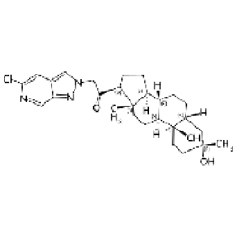 C[C@@]1(O)CC[C@@]2(C)[C@H](CC[C@@H]3[C@@H]2CC[C@]2(C)[C@@H](C(=O)Cn4cc5cc(Cl)ncc5n4)CC[C@@H]32)C1